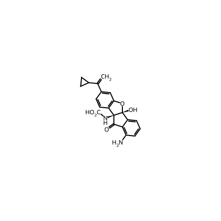 C=C(c1ccc2c(c1)O[C@]1(O)c3cccc(N)c3C(=O)[C@]21NC(=O)O)C1CC1